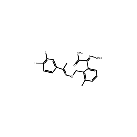 CNC(=O)/C(=N/OC)c1cccc(C)c1CO/N=C(\C)c1ccc(F)c(F)c1